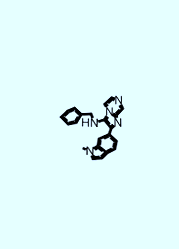 Cn1ccc2ccc(-c3nc4cnccn4c3NCc3ccccc3)cc21